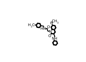 COc1ccc2cc(CNc3ccccc3)c(=O)n(CC(=O)NCc3ccc(C)cc3)c2c1